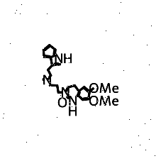 COc1cc2c(cc1OC)NC(=O)N(CCCN(C)CCc1c[nH]c3ccccc13)CC2